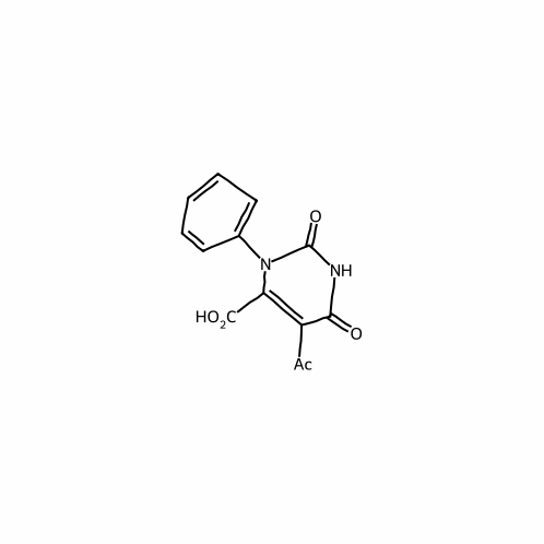 CC(=O)c1c(C(=O)O)n(-c2ccccc2)c(=O)[nH]c1=O